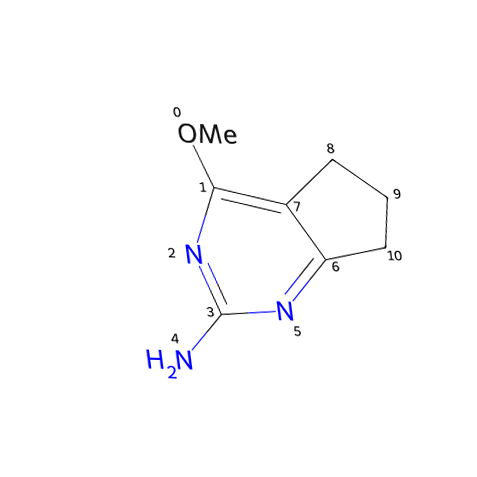 COc1nc(N)nc2c1CCC2